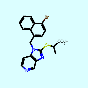 CC(Sc1nc2cnccc2n1Cc1ccc(Br)c2ccccc12)C(=O)O